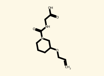 C=CCOC1CCCN(C(=O)NCC(=O)O)C1